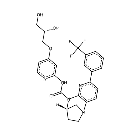 O=C(Nc1cc(OC[C@@H](O)CO)ccn1)N1c2nc(-c3cccc(C(F)(F)F)c3)ccc2N2CC[C@H]1C2